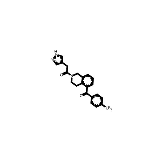 O=C(c1ccc(C(F)(F)F)cc1)c1cccc2c1CCN(C(=O)Cc1cn[nH]c1)C2